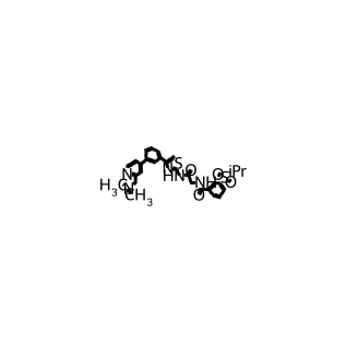 CC(C)S(=O)(=O)c1cccc(C(=O)NCC(=O)Nc2nc(-c3cccc(-c4ccnc(CN(C)C)c4)c3)cs2)c1